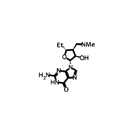 CC[C@H]1O[C@@H](n2cnc3c(=O)[nH]c(N)nc32)[C@H](O)[C@@H]1CNC